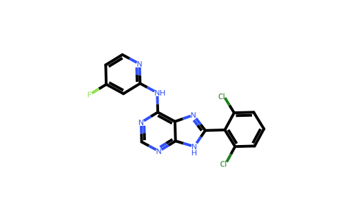 Fc1ccnc(Nc2ncnc3[nH]c(-c4c(Cl)cccc4Cl)nc23)c1